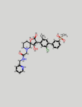 Cc1cc(-c2cccc(S(C)(=O)=O)c2)c(Cl)cc1C1=C(O)C2(CCCN(CC(=O)NCc3ccccn3)C2)OC1=O